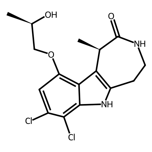 C[C@@H](O)COc1cc(Cl)c(Cl)c2[nH]c3c(c12)[C@@H](C)C(=O)NCC3